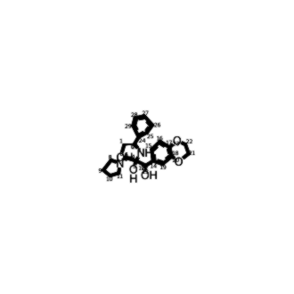 OC[C@H](NC(O)(CN1CCCC1)[C@H](O)c1ccc2c(c1)OCCO2)c1ccccc1